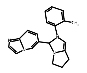 Cc1ccccc1N1C=C2CCCN2C1c1ccc2nccn2c1